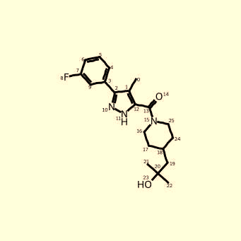 Cc1c(-c2cccc(F)c2)n[nH]c1C(=O)N1CCC(CC(C)(C)O)CC1